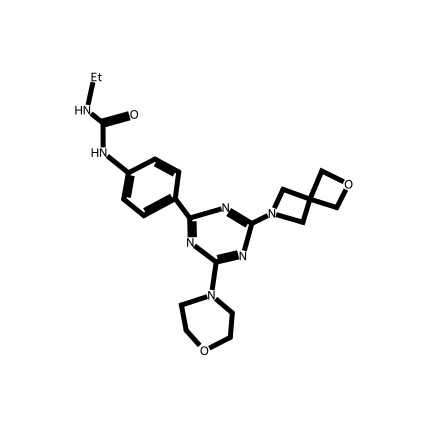 CCNC(=O)Nc1ccc(-c2nc(N3CCOCC3)nc(N3CC4(COC4)C3)n2)cc1